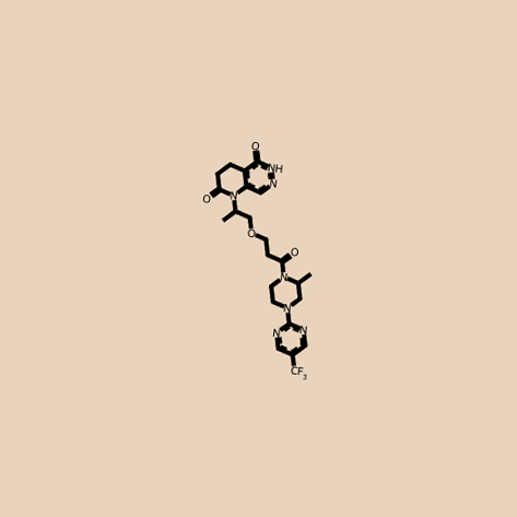 CC1CN(c2ncc(C(F)(F)F)cn2)CCN1C(=O)CCOCC(C)N1C(=O)CCc2c1cn[nH]c2=O